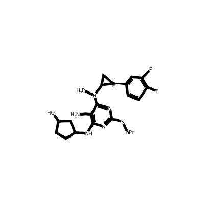 CCCSc1nc(NC2CCC(O)C2)c(N)c(N(P)C2C[C@H]2c2ccc(F)c(F)c2)n1